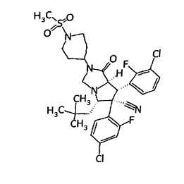 CC(C)(C)C[C@@H]1N2CN(C3CCN(S(C)(=O)=O)CC3)C(=O)[C@H]2[C@H](c2cccc(Cl)c2F)[C@@]1(C#N)c1ccc(Cl)cc1F